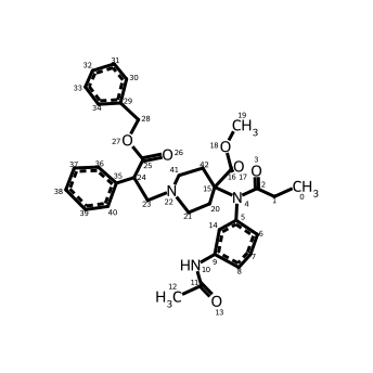 CCC(=O)N(c1cccc(NC(C)=O)c1)C1(C(=O)OC)CCN(CC(C(=O)OCc2ccccc2)c2ccccc2)CC1